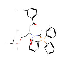 COc1cccc(C(=O)C[C@@H]2[C@@H]([C@@H](C)O[Si](C)(C)C)C(=O)N2C(C(=O)O)=P(c2ccccc2)(c2ccccc2)c2ccccc2)c1